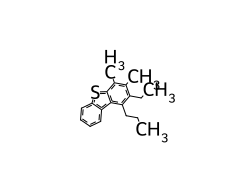 CCCc1c(CC)c(C)c(C)c2sc3ccccc3c12